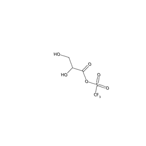 O=C(OS(=O)(=O)C(F)(F)F)C(O)CO